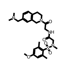 COc1cc(C)c(S(=O)(=O)N(C)CC(=O)NCC(=O)N2CCc3ccc(CN(C)C)cc3C2)c(C)c1